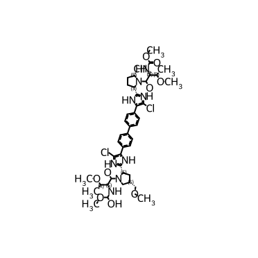 COC[C@H]1C[C@@H](c2nc(Cl)c(-c3ccc(-c4ccc(-c5[nH]c([C@@H]6CC[C@H](C)N6C(O)[C@@H](NC(=O)OC)[C@@H](C)OC)nc5Cl)cc4)cc3)[nH]2)N(C(O)[C@@H](NC(O)OC)[C@@H](C)OC)C1